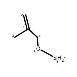 C=C(C)CO[SiH2]